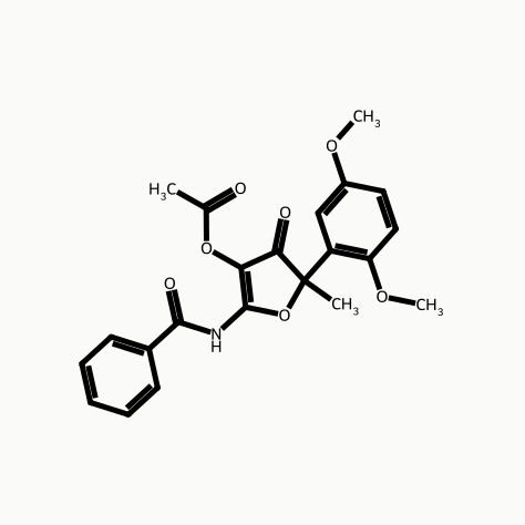 COc1ccc(OC)c(C2(C)OC(NC(=O)c3ccccc3)=C(OC(C)=O)C2=O)c1